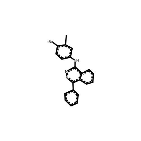 Cc1cc(Nc2nnc(-c3ccccc3)c3ccccc23)ccc1C(C)(C)C